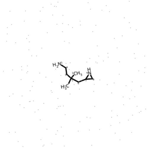 CC(C)(CCN)CC1CN1